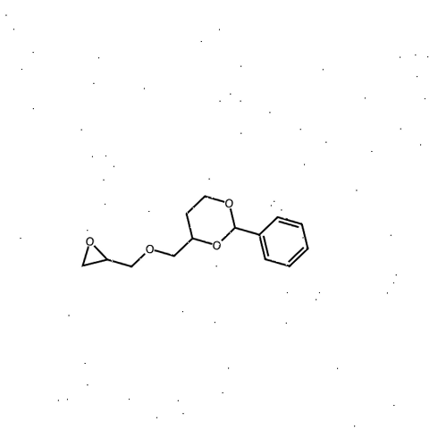 c1ccc(C2OCCC(COCC3CO3)O2)cc1